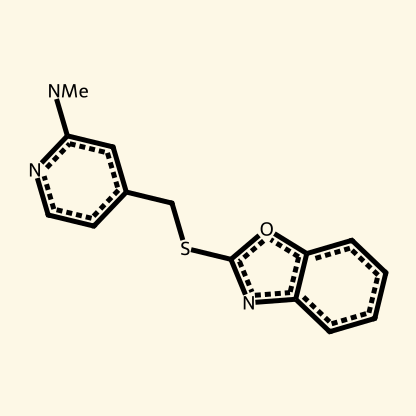 CNc1cc(CSc2nc3ccccc3o2)ccn1